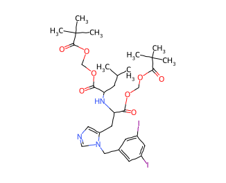 CC(C)CC(NC(Cc1cncn1Cc1cc(I)cc(I)c1)C(=O)OCOC(=O)C(C)(C)C)C(=O)OCOC(=O)C(C)(C)C